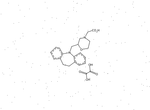 O=C(O)C(=O)O.O=C(O)CN1CCOC(CN2c3ccccc3CCc3ccccc32)C1